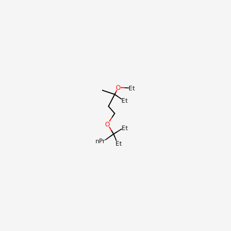 CCCC(CC)(CC)OCCC(C)(CC)OCC